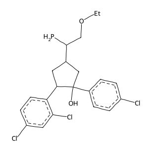 CCOCC(P)C1CC(c2ccc(Cl)cc2Cl)C(O)(c2ccc(Cl)cc2)C1